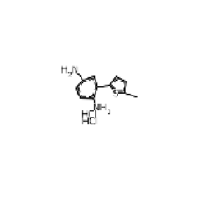 Cc1ccc(-c2cc(N)ccc2N)s1.Cl.Cl